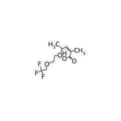 CC(=CC(C)OCCOCC(F)(F)F)C(=O)O